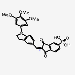 COc1cc(N2CCc3cc(/C=C4/C(=O)c5ccc(P(=O)(O)O)cc5C4=O)ccc32)cc(OC)c1OC